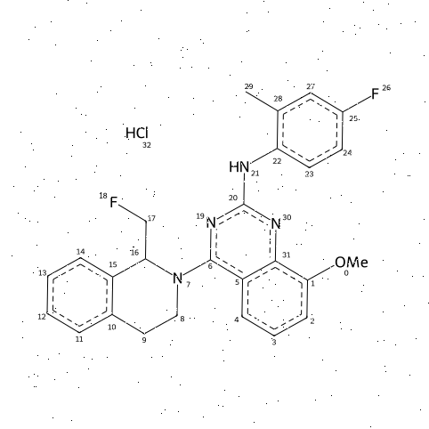 COc1cccc2c(N3CCc4ccccc4C3CF)nc(Nc3ccc(F)cc3C)nc12.Cl